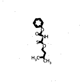 CC(C)CCOC(=S)NC(=O)Oc1ccccc1